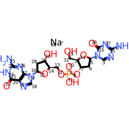 Nc1ncn([C@H]2C[C@H](OP(=O)(O)OC[C@H]3O[C@@H](n4cnc5c(=O)[nH]c(N)nc54)C[C@@H]3O)[C@@H](CO)O2)c(=O)n1.[Na]